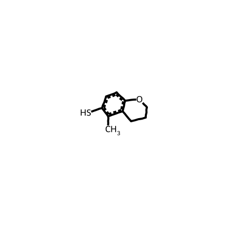 Cc1c(S)ccc2c1CCCO2